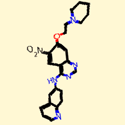 O=[N+]([O-])c1cc2c(Nc3ccc4ncccc4c3)ncnc2cc1OCCN1CCCCC1